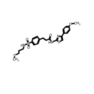 COCCCNS(=O)(=O)c1ccc(CCC(=O)Nc2nc(-c3ccc(OC)cc3)cs2)cc1